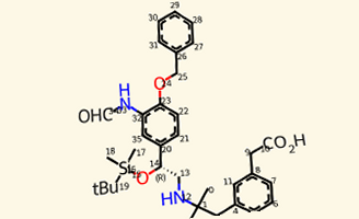 CC(C)(Cc1cccc(CC(=O)O)c1)NC[C@H](O[Si](C)(C)C(C)(C)C)c1ccc(OCc2ccccc2)c(NC=O)c1